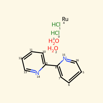 Cl.Cl.O.O.[Ru].c1ccc(-c2ccccn2)nc1